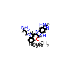 CC(=O)O.COc1ccc2c(c1)c(-c1nc3cc4[nH]cnc4cc3[nH]c1=O)cn2CCCN